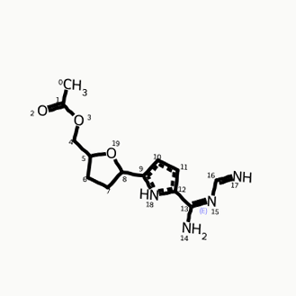 CC(=O)OCC1CCC(c2ccc(/C(N)=N\C=N)[nH]2)O1